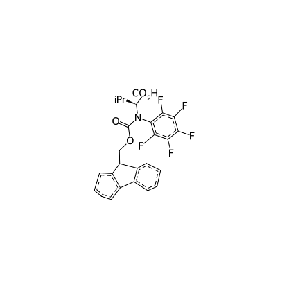 CC(C)[C@@H](C(=O)O)N(C(=O)OCC1c2ccccc2-c2ccccc21)c1c(F)c(F)c(F)c(F)c1F